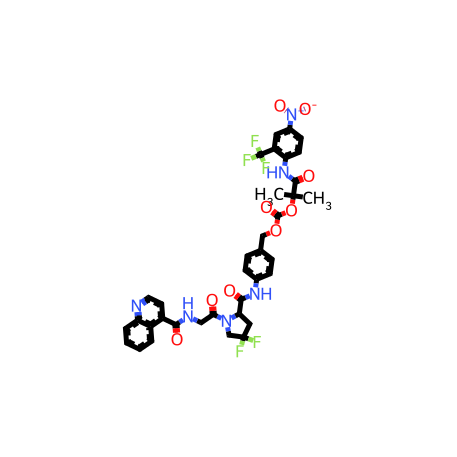 CC(C)(OC(=O)OCc1ccc(NC(=O)C2CC(F)(F)CN2C(=O)CNC(=O)c2ccnc3ccccc23)cc1)C(=O)Nc1ccc([N+](=O)[O-])cc1C(F)(F)F